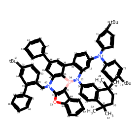 CC(C)(C)c1ccc(N(c2ccc(C(C)(C)C)cc2)c2ccc3c(c2)N(c2ccc4c(c2)C(C)(C)CCC4(C)C)B2c4c-3cc(-c3ccccc3)cc4N(Cc3ccc(C(C)(C)C)cc3-c3ccccc3)c3oc4ccccc4c32)cc1